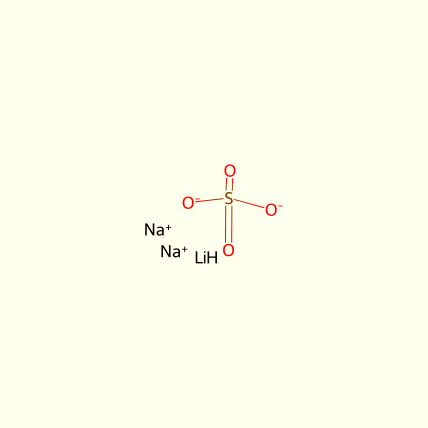 O=S(=O)([O-])[O-].[LiH].[Na+].[Na+]